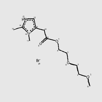 COCCOCCOC(=O)Cc1c[nH]c(C)[n+]1C.[Br-]